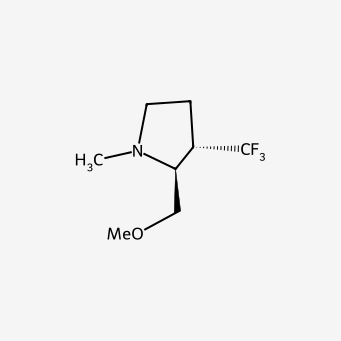 COC[C@@H]1[C@@H](C(F)(F)F)CCN1C